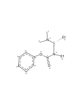 CC[C@@H](N(C)C)N(CC)C(=O)Oc1ccccc1